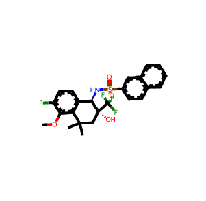 COc1c(F)ccc2c1C(C)(C)C[C@](O)(C(F)(F)F)[C@@H]2NS(=O)(=O)c1ccc2ccccc2c1